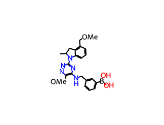 COCc1cccc2c1CC(C)N2c1nnc(OC)c(NCc2cccc(B(O)O)c2)n1